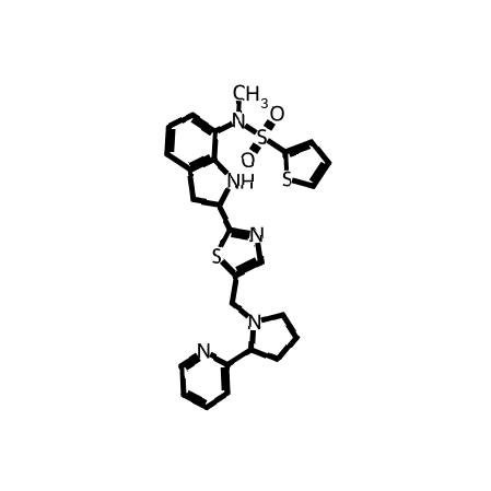 CN(c1cccc2c1NC(c1ncc(CN3CCCC3c3ccccn3)s1)C2)S(=O)(=O)c1cccs1